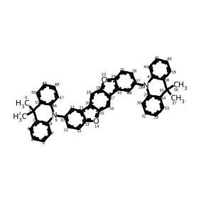 CC1(C)c2ccccc2N(c2ccc3oc4cc5c(cc4c3c2)oc2ccc(N3c4ccccc4C(C)(C)c4ccccc43)cc25)c2ccccc21